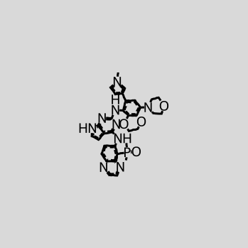 Cn1ccc(-c2cc(N3CCOCC3)c3c(c2Nc2nc(Nc4ccc5nccnc5c4P(C)(C)=O)c4cc[nH]c4n2)OCCO3)c1